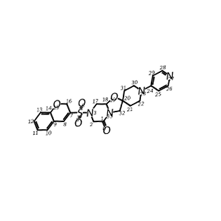 O=C1CN(S(=O)(=O)C2=Cc3ccccc3OC2)CC2OC3(CCN(c4ccncc4)CC3)CN12